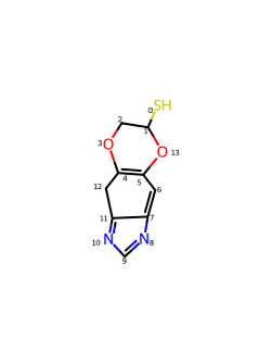 SC1COC2=C(C=C3N=CN=C3C2)O1